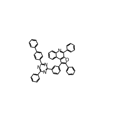 c1ccc(-c2ccc(-c3nc(-c4ccccc4)nc(-c4cccc(-c5c(-c6ccccc6)oc6c(-c7ccccc7)nc7ccccc7c56)c4)n3)cc2)cc1